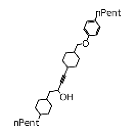 CCCCCc1ccc(OCC2CCC(C#CC(O)CC3CCC(CCCCC)CC3)CC2)cc1